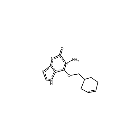 Nn1c(OCC2CC=CCC2)c2[nH]cnc2nc1=O